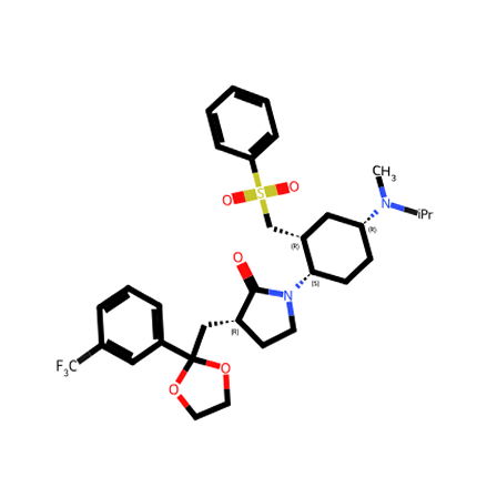 CC(C)N(C)[C@@H]1CC[C@H](N2CC[C@H](CC3(c4cccc(C(F)(F)F)c4)OCCO3)C2=O)[C@H](CS(=O)(=O)c2ccccc2)C1